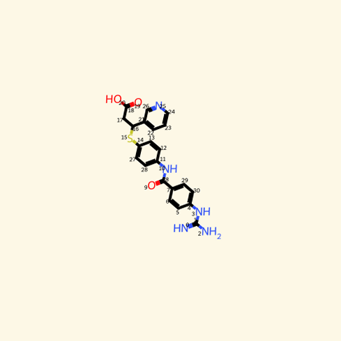 N=C(N)Nc1ccc(C(=O)Nc2ccc(SC(CC(=O)O)c3cccnc3)cc2)cc1